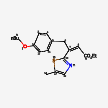 CCCCOc1ccc(CC(=CC(=O)OCC)c2ncc(C)s2)cc1